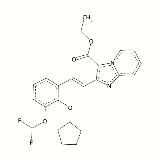 CCOC(=O)c1c(C=Cc2cccc(OC(F)F)c2OC2CCCC2)nc2ccccn12